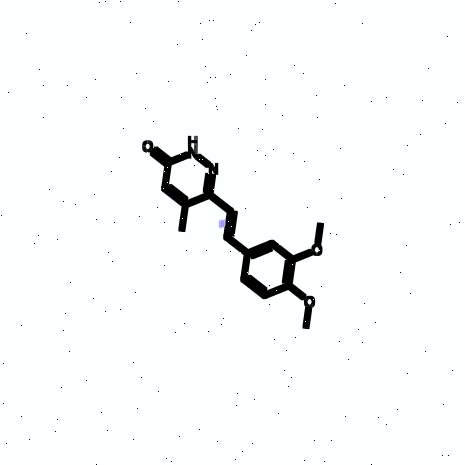 COc1ccc(/C=C/c2n[nH]c(=O)cc2C)cc1OC